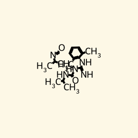 CC(C)N=C=O.Cc1cccc(C)c1NC(=N)NC(=O)NC(C)C